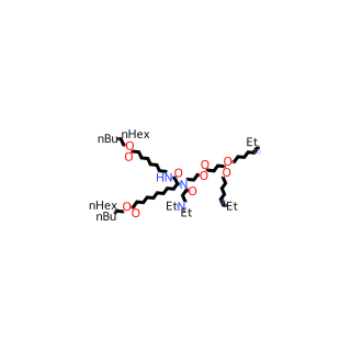 CC/C=C\CCCCOC(CCC(=O)OCCCN(C(=O)CCN(CC)CC)C(CCCCCCCCC(=O)OCC(CCCC)CCCCCC)C(=O)NCCCCCCCC(=O)OCC(CCCC)CCCCCC)OCCCC/C=C\CC